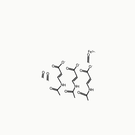 CC(=O)NC=CC(=O)[O-].CC(=O)NC=CC(=O)[O-].CC(=O)NC=CC(=O)[O-].[C]=O.[C]=O.[C]=O.[Fe+3]